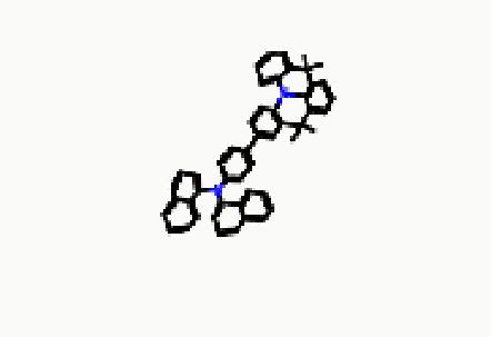 CC1(C)c2ccccc2N2c3ccc(-c4ccc(N(c5cccc6ccccc56)c5cccc6ccccc56)cc4)cc3C(C)(C)c3cccc1c32